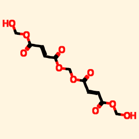 O=C(C=CC(=O)OCOC(=O)C=CC(=O)OCO)OCO